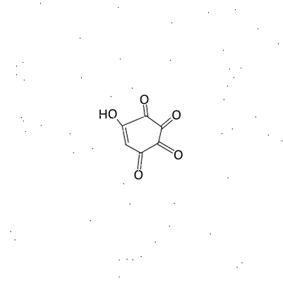 O=c1cc(O)c(=O)c(=O)c1=O